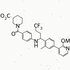 COc1ncccc1-c1ccc(C(CCC(F)(F)F)Nc2ccc(C(=O)N3CCC[C@@H](C(=O)O)C3)cc2)c(C)c1